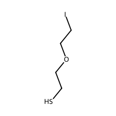 SCCOCCI